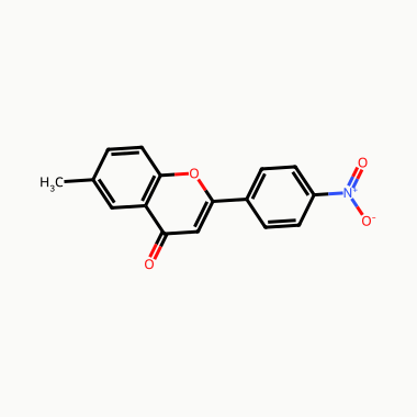 Cc1ccc2oc(-c3ccc([N+](=O)[O-])cc3)cc(=O)c2c1